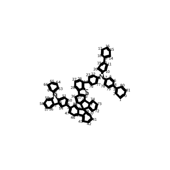 c1ccc(-c2ccc(N(c3ccc(-c4ccccc4)cc3)c3ccc(-c4cccc5c4sc4c6c(ccc45)C4(c5ccccc5-c5ccc(-c7ccc8c(c7)c7ccccc7n8-c7ccccc7)cc54)c4ccccc4-6)cc3)cc2)cc1